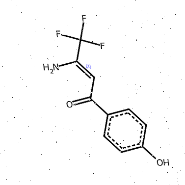 N/C(=C\C(=O)c1ccc(O)cc1)C(F)(F)F